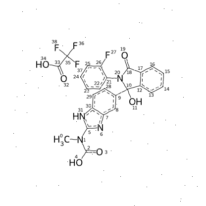 CN(C(=O)O)c1nc2cc(C3(O)c4ccccc4C(=O)N3c3ccccc3F)ccc2[nH]1.O=C(O)C(F)(F)F